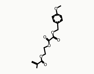 C=C(C)C(=O)OCCOC(=O)C(=O)OCc1ccc(OC)cc1